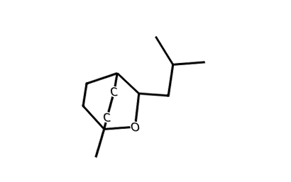 CC(C)CC1OC2(C)CCC1CC2